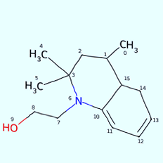 CC1CC(C)(C)N(CCO)C2=CC=CCC21